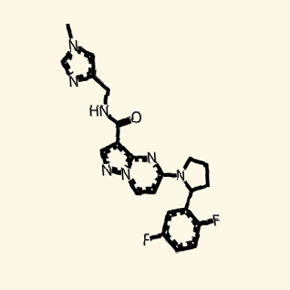 Cn1cnc(CNC(=O)c2cnn3ccc(N4CCCC4c4cc(F)ccc4F)nc23)c1